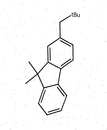 CC(C)(C)Cc1ccc2c(c1)C(C)(C)c1ccccc1-2